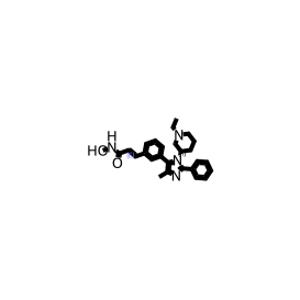 CCN1CCC[C@@H](n2c(-c3ccccc3)nc(C)c2-c2cccc(/C=C/C(=O)NO)c2)C1